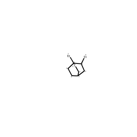 CCC1CC2CCC1(CC)CC2